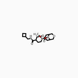 CCOC(=O)N1C2COCC1CC(N1CCC(C(=O)NCC3CCC3)CC1)C2